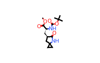 COC(=O)[C@@H](C[C@@H]1CC2(CC2)NC1=O)NC(=O)OC(C)(C)C